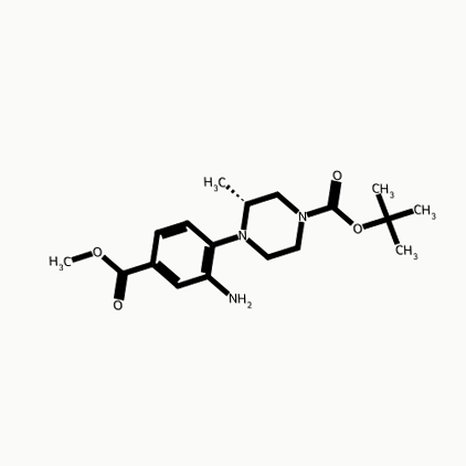 COC(=O)c1ccc(N2CCN(C(=O)OC(C)(C)C)C[C@H]2C)c(N)c1